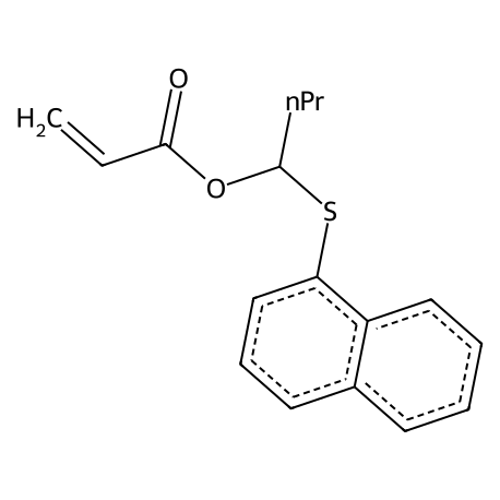 C=CC(=O)OC(CCC)Sc1cccc2ccccc12